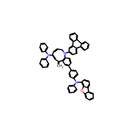 C=C1/C=C(N(c2ccccc2)c2ccccc2)\C=C/CN(c2ccc3c4ccccc4c4ccccc4c3c2)c2ccc(-c3ccc(N(c4ccccc4)c4cccc5c4oc4ccccc45)cc3)cc21